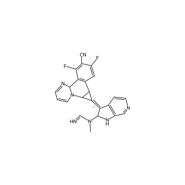 CN(C=N)C1Nc2cnccc2/C1=C1\C2c3cc(F)c(C#N)c(F)c3C3N=CC=CN3C12